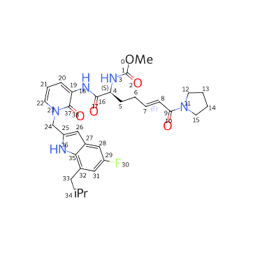 COC(=O)N[C@@H](CC/C=C/C(=O)N1CCCC1)C(=O)Nc1cccn(Cc2cc3cc(F)cc(CC(C)C)c3[nH]2)c1=O